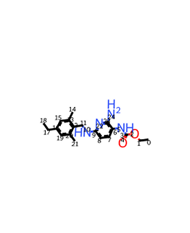 CCOC(=O)Nc1ccc(NCc2c(C)cc(CC)cc2C)nc1N